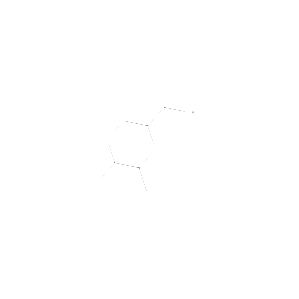 CC1OCC(CO)OC1C